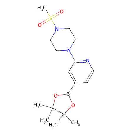 CC1(C)OB(c2ccnc(N3CCN(S(C)(=O)=O)CC3)c2)OC1(C)C